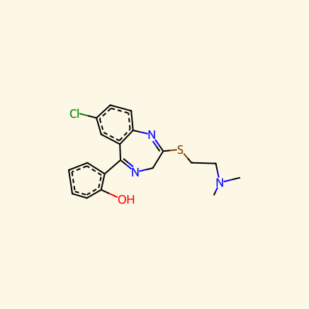 CN(C)CCSC1=Nc2ccc(Cl)cc2C(c2ccccc2O)=NC1